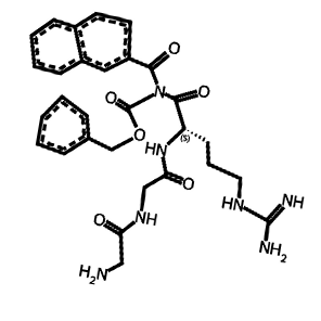 N=C(N)NCCC[C@H](NC(=O)CNC(=O)CN)C(=O)N(C(=O)OCc1ccccc1)C(=O)c1ccc2ccccc2c1